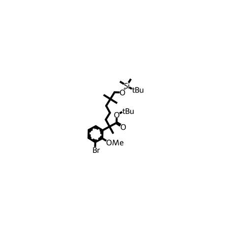 COc1c(Br)cccc1C(C)(CCCC(C)(C)CO[Si](C)(C)C(C)(C)C)C(=O)OC(C)(C)C